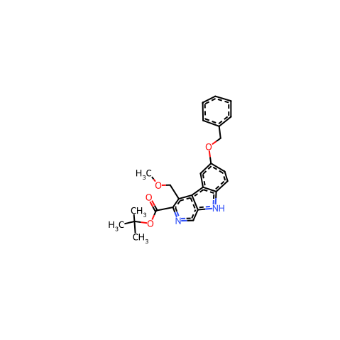 COCc1c(C(=O)OC(C)(C)C)ncc2[nH]c3ccc(OCc4ccccc4)cc3c12